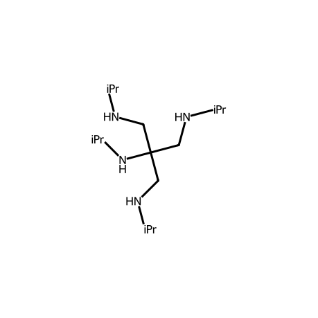 CC(C)NCC(CNC(C)C)(CNC(C)C)NC(C)C